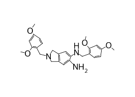 COc1ccc(CNc2cc3c(cc2N)CN(Cc2ccc(OC)cc2OC)C3)c(OC)c1